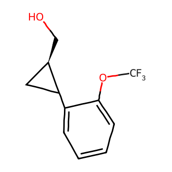 OC[C@@H]1CC1c1ccccc1OC(F)(F)F